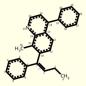 CC/C=C(/c1ccccc1)c1ccc2c(-c3ccccc3)ccnc2c1C